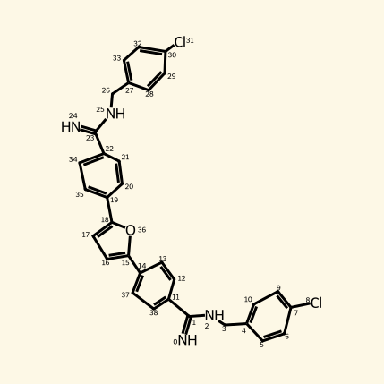 N=C(NCc1ccc(Cl)cc1)c1ccc(-c2ccc(-c3ccc(C(=N)NCc4ccc(Cl)cc4)cc3)o2)cc1